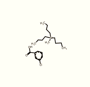 CCCC[N+](C)(CCCC)CCCC.O=C(O)c1cccc(Cl)c1